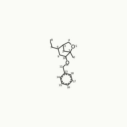 CC12CC(CO1)C(CI)CC2OCc1ccccc1